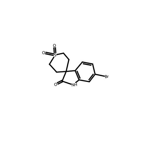 O=C1Nc2cc(Br)ccc2C12CCS(=O)(=O)CC2